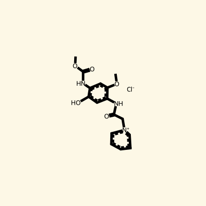 COC(=O)Nc1cc(OC)c(NC(=O)C[n+]2ccccc2)cc1O.[Cl-]